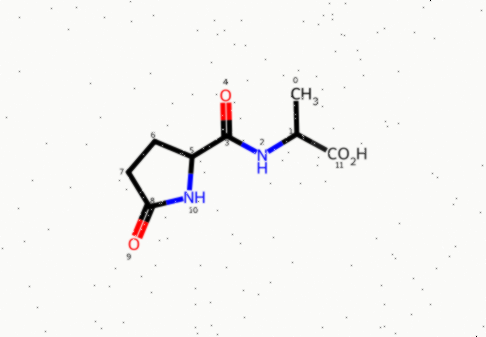 CC(NC(=O)C1CCC(=O)N1)C(=O)O